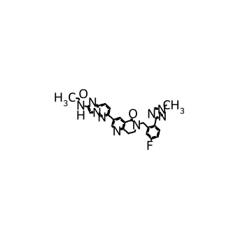 CC(=O)Nc1cn2nc(-c3cnc4c(c3)C(=O)N(Cc3cc(F)ccc3-c3ncn(C)n3)CC4)ccc2n1